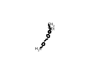 C=CCOC(CC)c1ccc([C@H]2CC[C@H](CCCC[C@H]3CC[C@H](CC=C)CC3)CC2)cc1